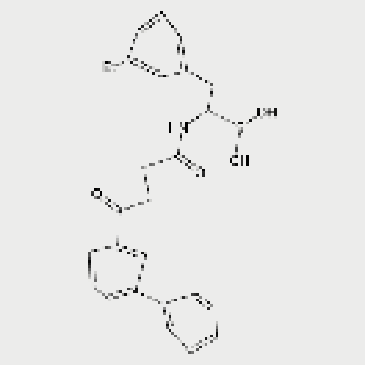 CCc1cccc(CC(NC(=O)CCC(=O)c2cccc(-c3ccccc3)c2)B(O)O)c1